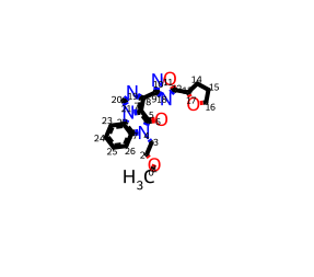 COCCn1c(=O)c2c(-c3noc(C4CCCO4)n3)ncn2c2ccccc21